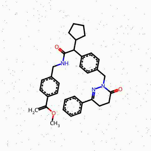 C=C(OC)c1ccc(CNC(=O)C(c2ccc(CN3N=C(c4ccccc4)CCC3=O)cc2)C2CCCC2)cc1